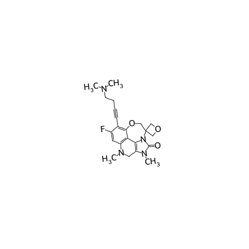 CN(C)CCC#Cc1c(F)cc2c3c1OCC1(COC1)n1c-3c(n(C)c1=O)CN2C